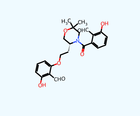 CC1(C)CN(C(=O)c2cccc(O)c2C=O)[C@H](CCOc2cccc(O)c2C=O)CO1